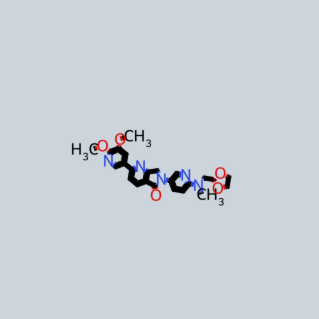 COc1cc(-c2ccc3c(n2)CN(c2ccc(N(C)CC4OCCO4)nc2)C3=O)cnc1OC